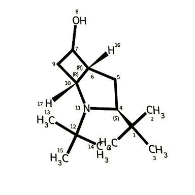 CC(C)(C)[C@@H]1C[C@H]2C(O)C[C@H]2N1C(C)(C)C